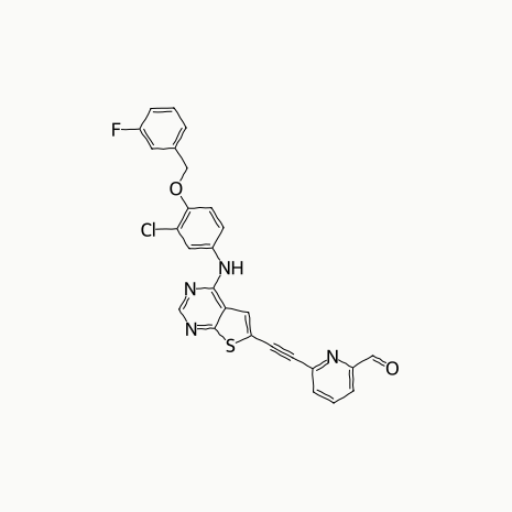 O=Cc1cccc(C#Cc2cc3c(Nc4ccc(OCc5cccc(F)c5)c(Cl)c4)ncnc3s2)n1